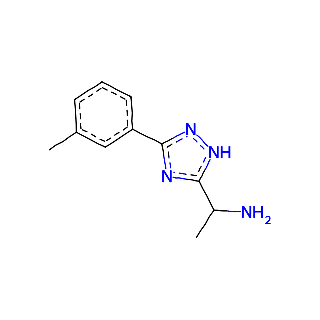 Cc1cccc(-c2n[nH]c(C(C)N)n2)c1